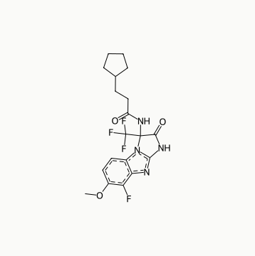 COc1ccc2c(nc3n2C(NC(=O)CCC2CCCC2)(C(F)(F)F)C(=O)N3)c1F